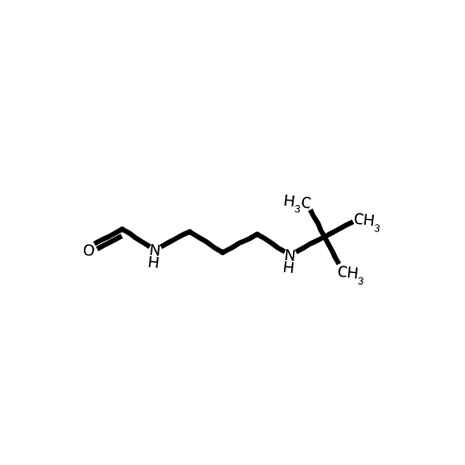 CC(C)(C)NCCCNC=O